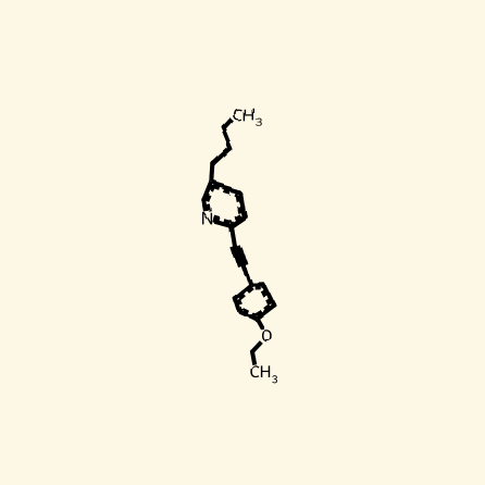 CCCCc1ccc(C#Cc2ccc(OCC)cc2)nc1